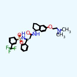 CN(C)CCOc1ccc2c(c1)CCC[C@@H]2NC(=O)C[C@@H](NS(=O)(=O)c1cccc(C(F)(F)F)c1)c1ccccc1